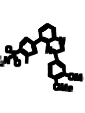 COc1ccc(-c2cnc3cccc(-c4ccc(S(N)(=O)=O)c(C)c4)c3n2)cc1OC